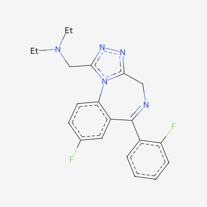 CCN(CC)Cc1nnc2n1-c1ccc(F)cc1C(c1ccccc1F)=NC2